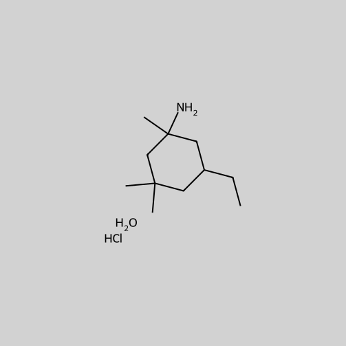 CCC1CC(C)(C)CC(C)(N)C1.Cl.O